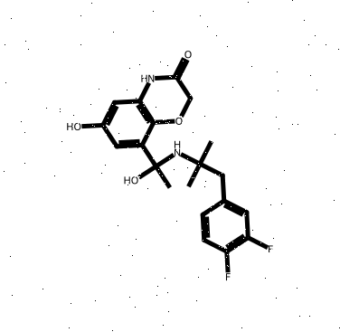 CC(C)(Cc1ccc(F)c(F)c1)NC(C)(O)c1cc(O)cc2c1OCC(=O)N2